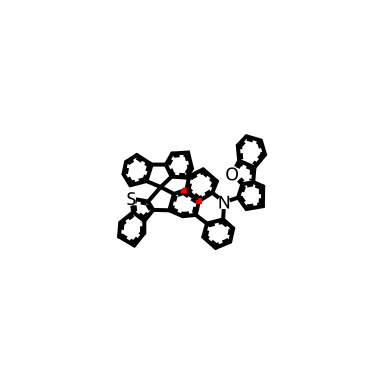 c1ccc(N(c2ccccc2-c2ccc3c(c2)-c2c(sc4ccccc24)C32c3ccccc3-c3ccccc32)c2cccc3c2oc2ccccc23)cc1